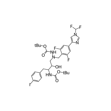 CC(C)(C)OC(=O)NC(Cc1ccc(I)cc1)C(O)CN(Cc1c(F)cc(-c2cn(C(F)F)cn2)cc1F)NC(=O)OC(C)(C)C